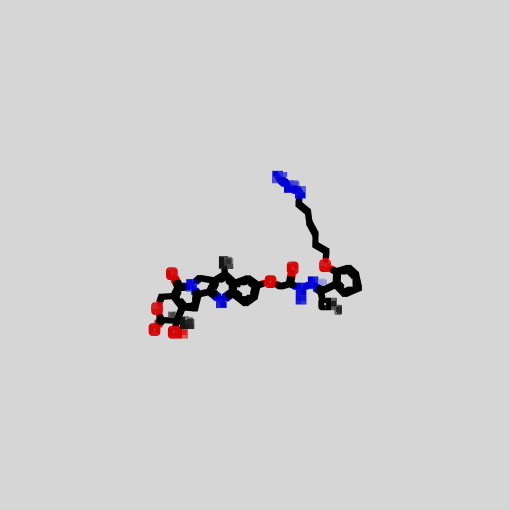 CCc1c2c(nc3ccc(OCC(=O)N/N=C(\C)c4ccccc4OCCCCCCN=[N+]=[N-])cc13)-c1cc3c(c(=O)n1C2)COC(=O)[C@]3(O)CC